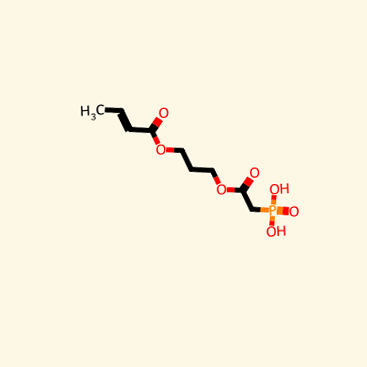 CC=CC(=O)OCCCOC(=O)CP(=O)(O)O